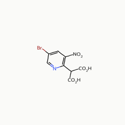 O=C(O)C(C(=O)O)c1ncc(Br)cc1[N+](=O)[O-]